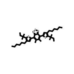 CCCCCCc1cc(-c2c(C)c(C)c(-c3cc(CCCCCC)c(C(C)(C)CC)s3)c3nsnc23)sc1C(C)(C)CC